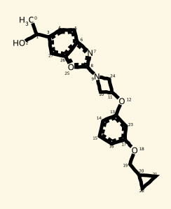 CC(O)c1ccc2nc(N3CC(Oc4cccc(OCC5CC5)c4)C3)oc2c1